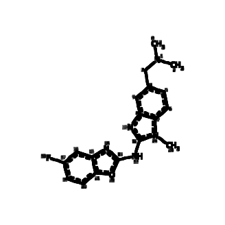 CN(C)Cc1ccc2c(c1)nc(Nc1nc3cc(F)ccc3o1)n2C